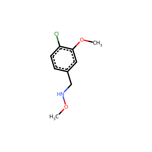 CONCc1ccc(Cl)c(OC)c1